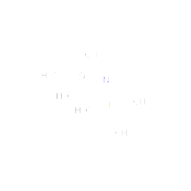 C[Si](C)(C)N=P(C)(C)C